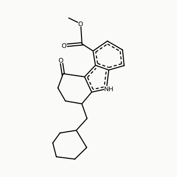 COC(=O)c1cccc2[nH]c3c(c12)C(=O)CCC3CC1CCCCC1